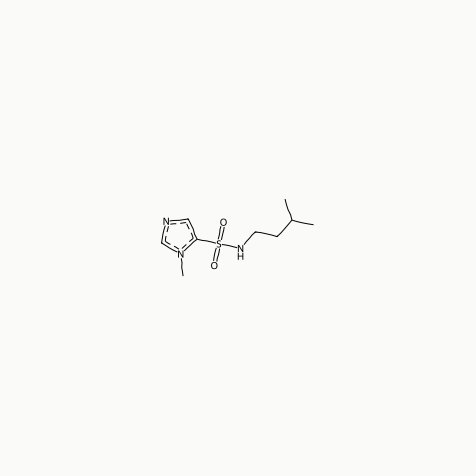 CC(C)CCNS(=O)(=O)c1cncn1C